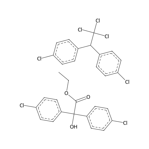 CCOC(=O)C(O)(c1ccc(Cl)cc1)c1ccc(Cl)cc1.Clc1ccc(C(c2ccc(Cl)cc2)C(Cl)(Cl)Cl)cc1